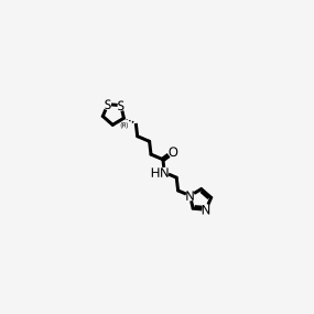 O=C(CCCC[C@@H]1CCSS1)NCCn1ccnc1